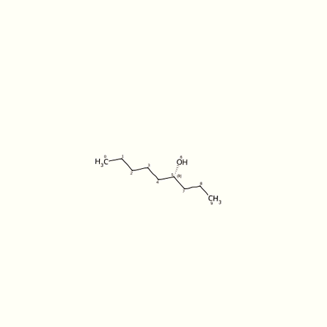 CCCCC[C@H](O)CCC